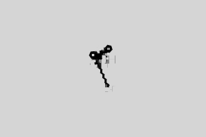 O=C(CCCCCCCCCBr)c1c(O)n(C(=O)Nc2ccccc2)c2ccccc12